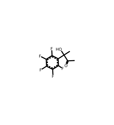 CC(=O)C(C)(O)c1c(F)c(F)c(F)c(F)c1F